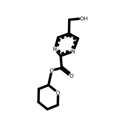 O=C(OC1CCCCO1)c1ncc(CO)cn1